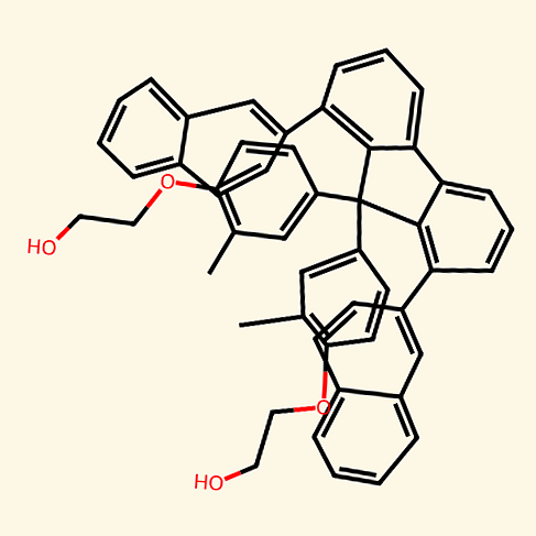 Cc1cc(C2(c3ccc(OCCO)c(C)c3)c3c(-c4ccc5ccccc5c4)cccc3-c3cccc(-c4ccc5ccccc5c4)c32)ccc1OCCO